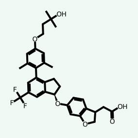 Cc1cc(OCCC(C)(C)O)cc(C)c1-c1cc(C(F)(F)F)cc2c1CC[C@H]2Oc1ccc2c(c1)OCC2CC(=O)O